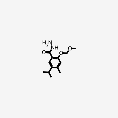 COCOc1cc(C)c(C(C)C)cc1C(=O)NN